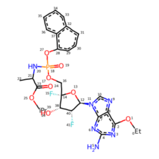 CCOc1nc(N)nc2c1ncn2[C@@H]1O[C@](F)(COP(=O)(NC(C)C(=O)OC(C)C)Oc2cccc3ccccc23)[C@@H](O)[C@H]1F